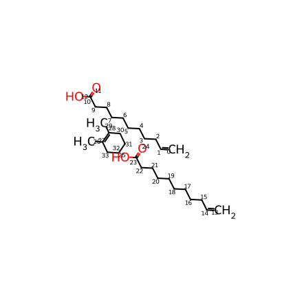 C=CCCCCCCCCC(=O)O.C=CCCCCCCCCC(=O)O.CC1=C(C)CCCC1